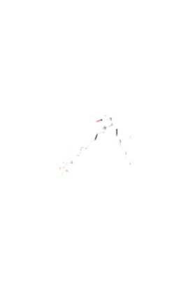 CCCCC[C@H](O)C=C[C@H]1[C@H](O)CC(=O)[C@@H]1CC=CCCCCOC(=O)NS(C)(=O)=O